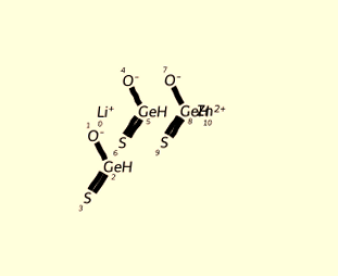 [Li+].[O-][GeH]=[S].[O-][GeH]=[S].[O-][GeH]=[S].[Zn+2]